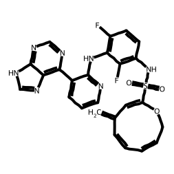 C=C1/C=C\C=C/CO/C(S(=O)(=O)Nc2ccc(F)c(Nc3ncccc3-c3ncnc4[nH]cnc34)c2F)=C\1